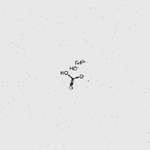 O=C([O-])O.[F-].[Gd+3].[OH-]